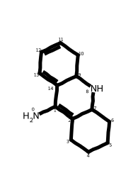 NC1=C2CCCCC2NC2CC=CC=C12